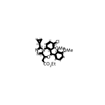 CCOC(=O)CC1OC(c2cccc(OC)c2OC)c2cc(Cl)ccc2-n2c(C3CC3)nnc21